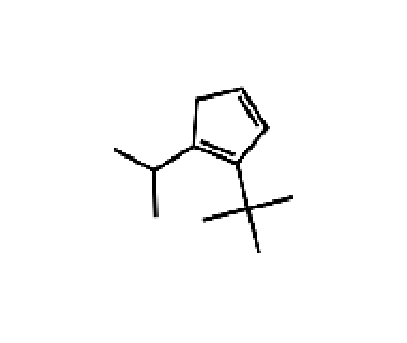 CC(C)C1=C(C(C)(C)C)C=CC1